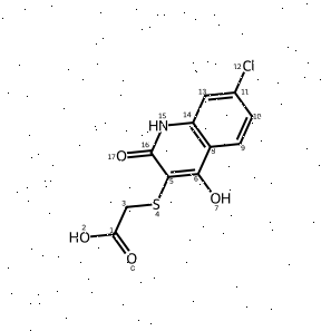 O=C(O)CSc1c(O)c2ccc(Cl)cc2[nH]c1=O